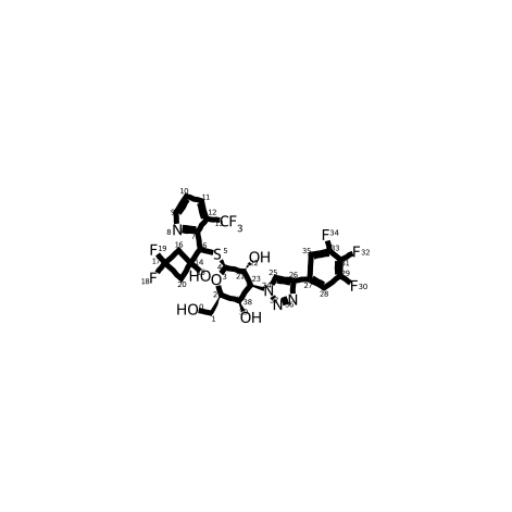 OC[C@H]1O[C@@H](SC(c2ncccc2C(F)(F)F)C2(O)CC(F)(F)C2)[C@H](O)[C@@H](n2cc(-c3cc(F)c(F)c(F)c3)nn2)[C@H]1O